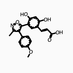 COc1ccc(-c2c(C)noc2-c2cc(C=CC(=O)O)c(O)cc2O)cc1